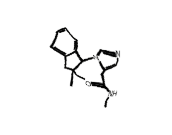 CNC(=O)c1cncn1C1c2ccccc2CC1(C)C